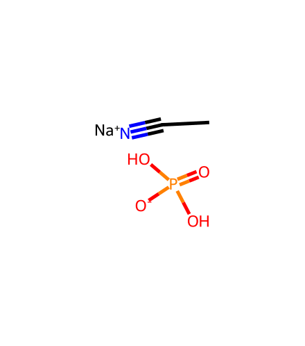 CC#N.O=P([O-])(O)O.[Na+]